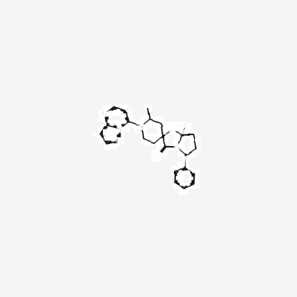 CC1CC2(CCN1c1ccnc3ccnn13)O[C@@H]1CC[C@@H](c3ccccc3)N1C2=O